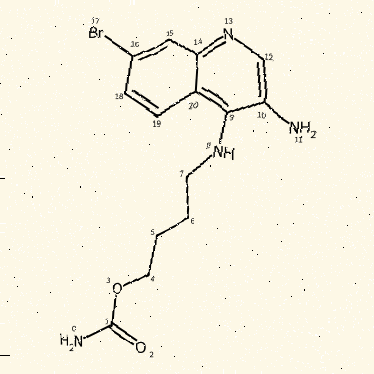 NC(=O)OCCCCNc1c(N)cnc2cc(Br)ccc12